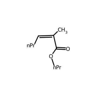 CCCC=C(C)C(=O)OCCC